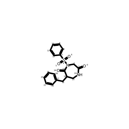 O=C1CN(S(=O)(=O)c2ccccc2)C(=O)C(Cc2ccccc2)CN1